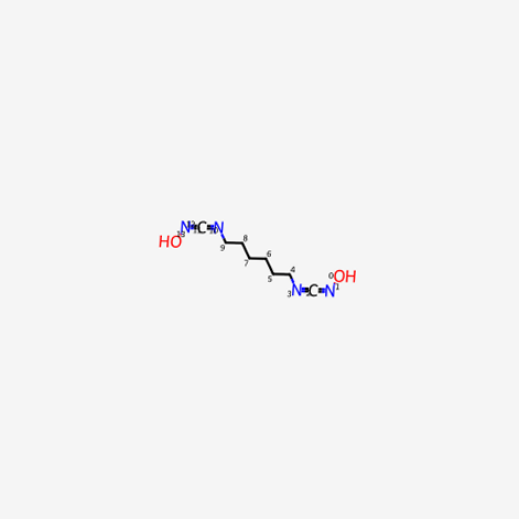 ON=C=NCCCCCCN=C=NO